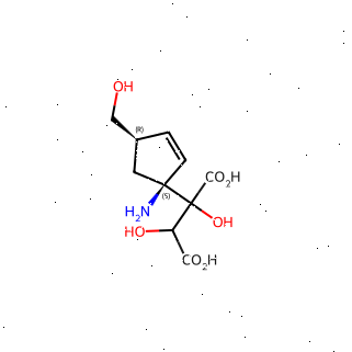 N[C@]1(C(O)(C(=O)O)C(O)C(=O)O)C=C[C@H](CO)C1